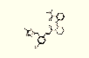 Cc1nnn(Cc2cc(Cl)ccc2C=CC(=O)N2CCCCC2Oc2ccccc2C(=O)N(C)C)n1